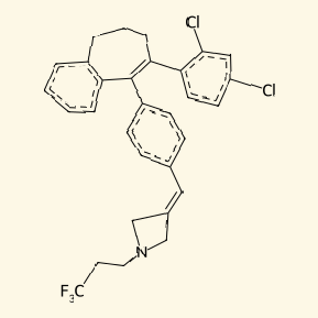 FC(F)(F)CCN1CC(=Cc2ccc(C3=C(c4ccc(Cl)cc4Cl)CCCc4ccccc43)cc2)C1